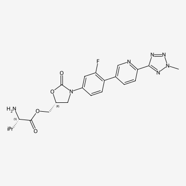 CC(C)[C@H](N)C(=O)OC[C@H]1CN(c2ccc(-c3ccc(-c4nnn(C)n4)nc3)c(F)c2)C(=O)O1